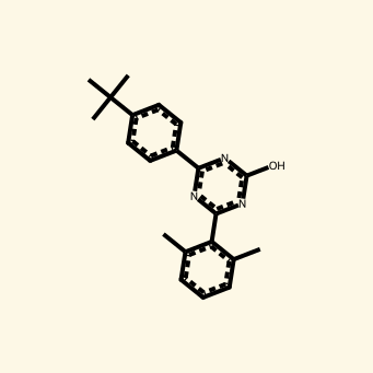 Cc1cccc(C)c1-c1nc(O)nc(-c2ccc(C(C)(C)C)cc2)n1